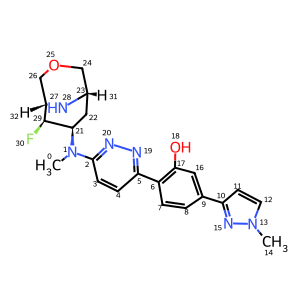 CN(c1ccc(-c2ccc(-c3ccn(C)n3)cc2O)nn1)[C@@H]1C[C@H]2COC[C@H](N2)[C@@H]1F